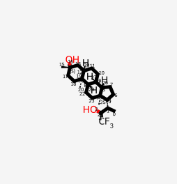 CC(C(O)C(F)(F)F)[C@H]1CC[C@H]2[C@@H]3CC[C@@H]4C[C@@](C)(O)CC[C@]4(C)[C@H]3CC[C@]12C